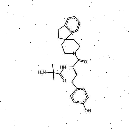 CC(C)(N)C(=O)N[C@H](CCc1ccc(O)cc1)C(=O)N1CCC2(CCc3ccccc32)CC1